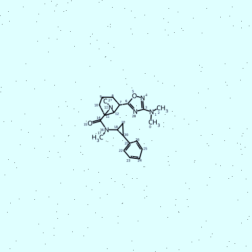 CN(C)c1noc(C2CC3CCC2N(C(=O)N(C)C2CC2c2ccccc2)C3)n1